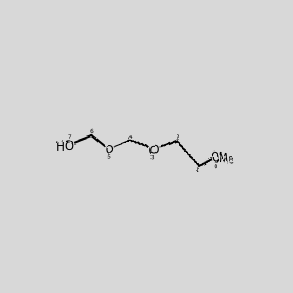 COCCOCOCO